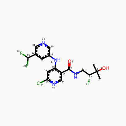 CC(C)(O)[C@H](F)CNC(=O)c1cnc(Cl)cc1Nc1cncc(C(F)F)c1